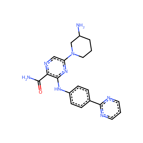 NC(=O)c1ncc(N2CCCC(N)C2)nc1Nc1ccc(-c2ncccn2)cc1